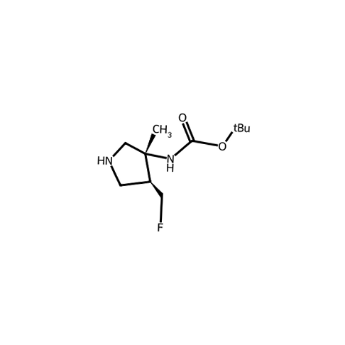 CC(C)(C)OC(=O)N[C@@]1(C)CNC[C@@H]1CF